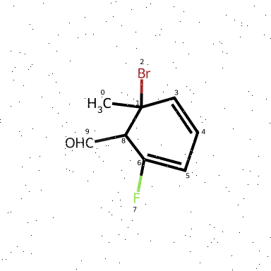 CC1(Br)C=CC=C(F)C1C=O